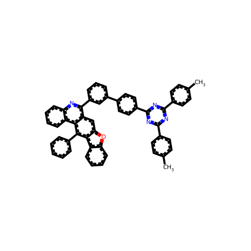 Cc1ccc(-c2nc(-c3ccc(C)cc3)nc(-c3ccc(-c4cccc(-c5nc6ccccc6c6c(-c7ccccc7)c7c(cc56)oc5ccccc57)c4)cc3)n2)cc1